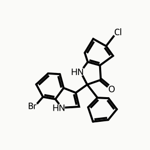 O=C1c2cc(Cl)ccc2NC1(c1ccccc1)c1c[nH]c2c(Br)cccc12